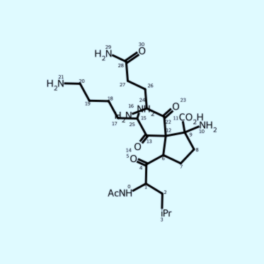 CC(=O)NC(CC(C)C)C(=O)C1CCC(N)(C(=O)O)C1(C(=O)C(N)CCCCN)C(=O)C(N)CCC(N)=O